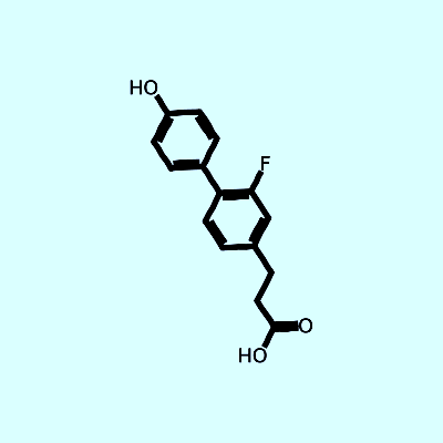 O=C(O)CCc1ccc(-c2ccc(O)cc2)c(F)c1